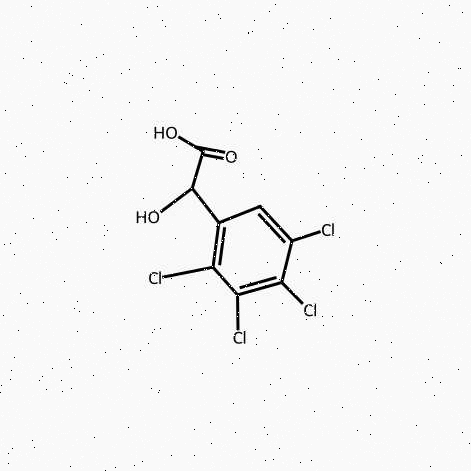 O=C(O)C(O)c1cc(Cl)c(Cl)c(Cl)c1Cl